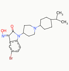 CC(C)C1CCC(N2CCC(N3C(=O)/C(=N\O)c4cc(Br)ccc43)CC2)CC1